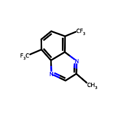 Cc1cnc2c(C(F)(F)F)ccc(C(F)(F)F)c2n1